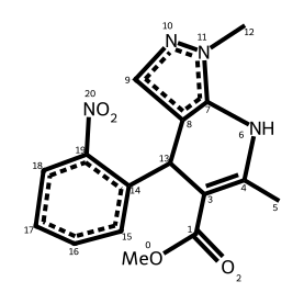 COC(=O)C1=C(C)Nc2c(cnn2C)C1c1ccccc1[N+](=O)[O-]